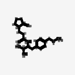 COCc1ccc(CC(NC(=O)CCN2CCCC2=O)B(O)O)cc1